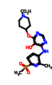 Cc1nc(S(C)(=O)=O)ccc1Nc1ncnc(OC2CCN(C(=O)O)CC2)c1O